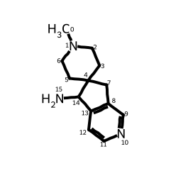 CN1CCC2(CC1)Cc1cnccc1C2N